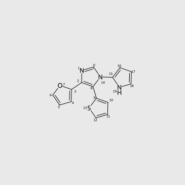 [c]1nc(-c2ccco2)c(-c2cccs2)n1-c1ccc[nH]1